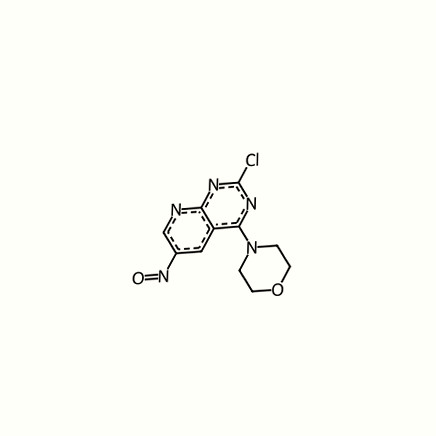 O=Nc1cnc2nc(Cl)nc(N3CCOCC3)c2c1